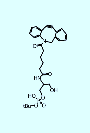 CC(C)(C)OP(=O)(O)OCC(CO)NC(=O)CCCCC(=O)N1Cc2ccccc2C#Cc2ccccc21